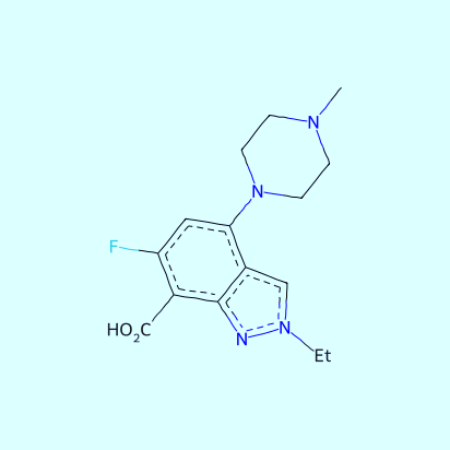 CCn1cc2c(N3CCN(C)CC3)cc(F)c(C(=O)O)c2n1